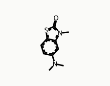 CN(C)c1ccc2sc(=O)n(C)c2c1